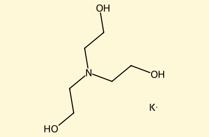 OCCN(CCO)CCO.[K]